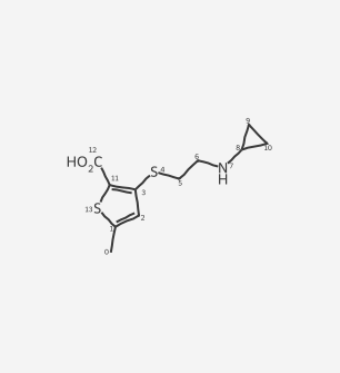 Cc1cc(SCCNC2CC2)c(C(=O)O)s1